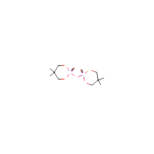 CC1(C)COP(=S)(OP2(=S)OCC(C)(C)CO2)OC1